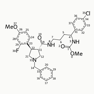 COC(=O)NC(CCCNC(=O)[C@@H]1CN(Cc2ccccc2)C[C@H]1c1ccc(OC)cc1F)c1ccc(Cl)cc1